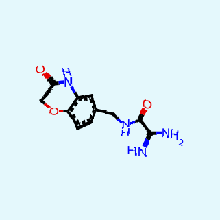 N=C(N)C(=O)NCc1ccc2c(c1)NC(=O)CO2